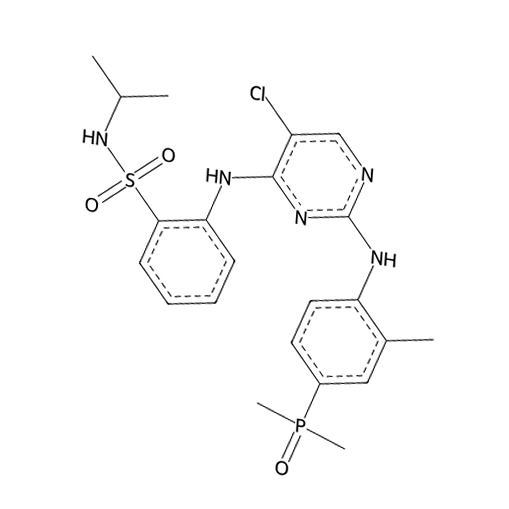 Cc1cc(P(C)(C)=O)ccc1Nc1ncc(Cl)c(Nc2ccccc2S(=O)(=O)NC(C)C)n1